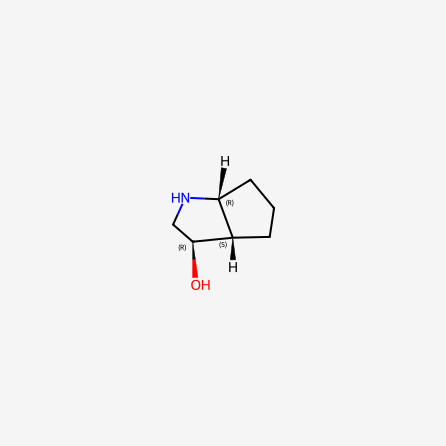 O[C@H]1CN[C@@H]2CCC[C@H]12